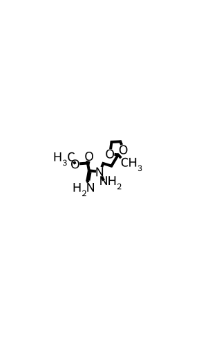 COC(=O)/C(=C/N)N(N)CCC1(C)OCCO1